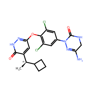 C[C@@H](c1cc(Oc2c(Cl)cc(N3N=C(N)CNC3=O)cc2Cl)n[nH]c1=O)C1CCC1